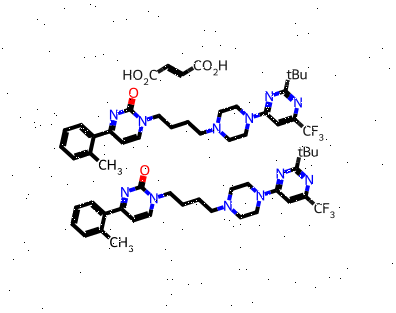 Cc1ccccc1-c1ccn(CCCCN2CCN(c3cc(C(F)(F)F)nc(C(C)(C)C)n3)CC2)c(=O)n1.Cc1ccccc1-c1ccn(CCCCN2CCN(c3cc(C(F)(F)F)nc(C(C)(C)C)n3)CC2)c(=O)n1.O=C(O)/C=C/C(=O)O